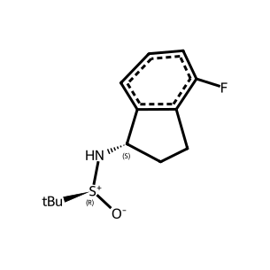 CC(C)(C)[S@+]([O-])N[C@H]1CCc2c(F)cccc21